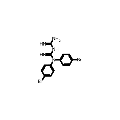 N=C(N)NC(=N)N(c1ccc(Br)cc1)c1ccc(Br)cc1